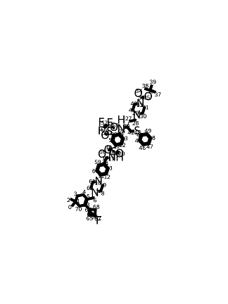 CC1(C)CCC(CN2CCN(c3ccc(C(=O)NS(=O)(=O)c4ccc(N[C@H](CCN5CCN(C(=O)OC(C)(C)C)CC5)CSc5ccccc5)c(S(=O)(=O)C(F)(F)F)c4)cc3)CC2)=C(C23CC(F)(C2)C3)C1